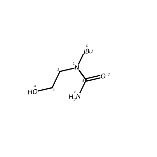 CCC(C)N(CCO)C(N)=O